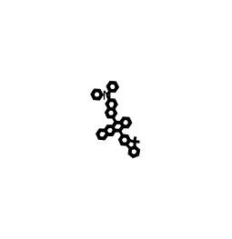 CC1(C)c2ccccc2-c2ccc(-c3c4ccccc4c(-c4ccc5cc(N(c6ccccc6)c6ccccc6)ccc5c4)c4cc5ccccc5cc34)cc21